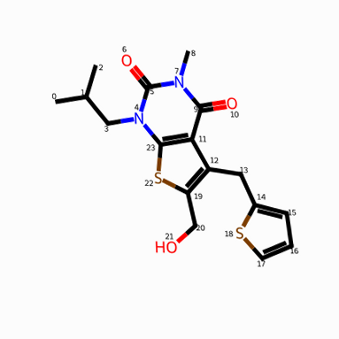 CC(C)Cn1c(=O)n(C)c(=O)c2c(Cc3cccs3)c(CO)sc21